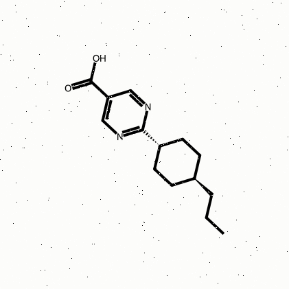 CCC[C@H]1CC[C@H](c2ncc(C(=O)O)cn2)CC1